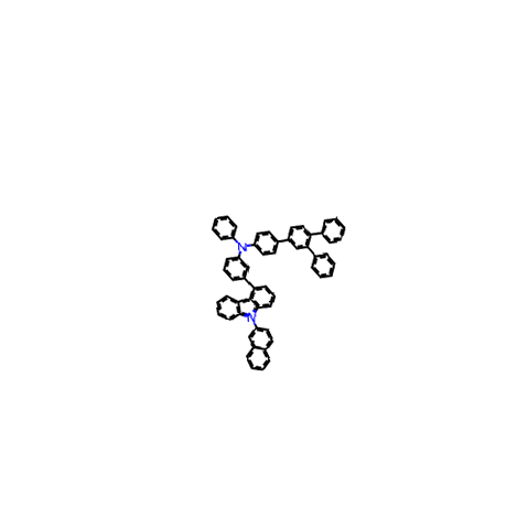 c1ccc(-c2ccc(-c3ccc(N(c4ccccc4)c4cccc(-c5cccc6c5c5ccccc5n6-c5ccc6ccccc6c5)c4)cc3)cc2-c2ccccc2)cc1